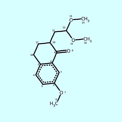 COc1ccc2c(c1)C(=O)C(CC(OC)OC)CC2